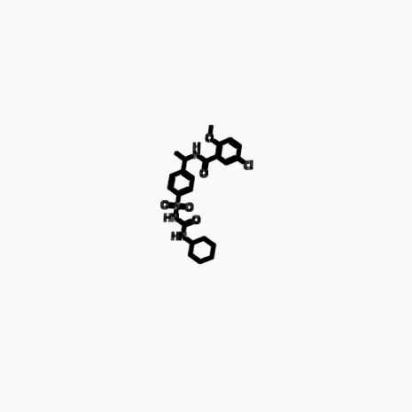 COc1ccc(Cl)cc1C(=O)NC(C)c1ccc(S(=O)(=O)NC(=O)NC2CCCCC2)cc1